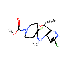 COC(=O)c1nnc(Cl)cc1N(C)C1(F)CCN(C(=O)OC(C)(C)C)CC1